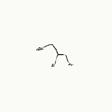 CCCCCC(Br)CC(C)=O